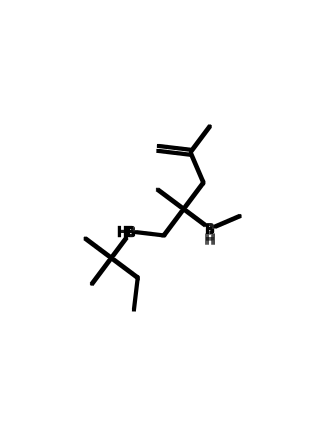 C=C(C)CC(C)(BC)CBC(C)(C)CC